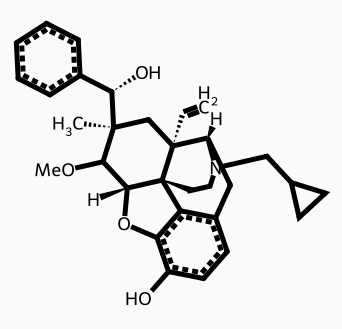 C=C[C@@]12C[C@](C)([C@@H](O)c3ccccc3)C(OC)[C@H]3Oc4c(O)ccc5c4[C@]31CCN(CC1CC1)[C@H]2C5